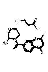 CCCC(=O)O.C[C@H]1CNCCN1C(=O)c1ccc2c(Cl)cc(Cl)nc2c1